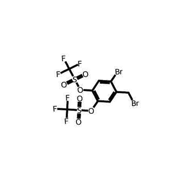 O=S(=O)(Oc1cc(Br)c(CBr)cc1OS(=O)(=O)C(F)(F)F)C(F)(F)F